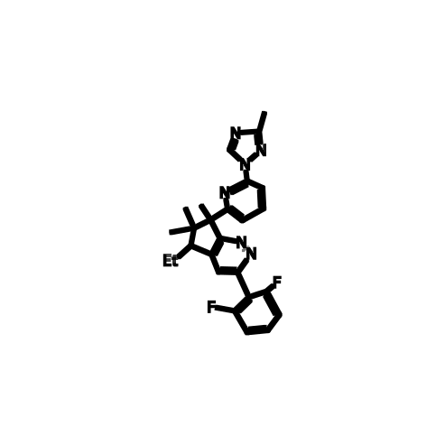 CCC1c2cc(-c3c(F)cccc3F)nnc2C(C)(c2cccc(-n3cnc(C)n3)n2)C1(C)C